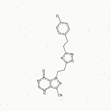 N#Cc1nn(CCc2nc(CCc3ccc(Cl)cc3)no2)c2c(=O)nc[nH]c12